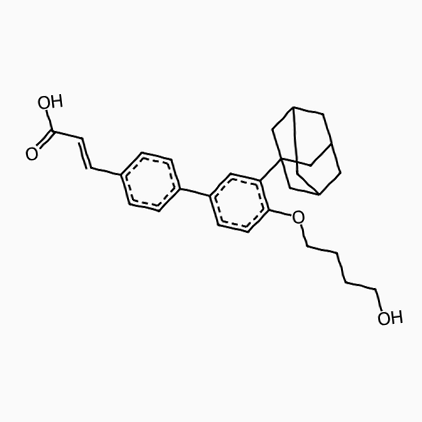 O=C(O)C=Cc1ccc(-c2ccc(OCCCCO)c(C34CC5CC(CC(C5)C3)C4)c2)cc1